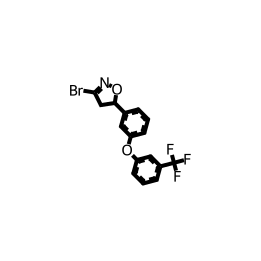 FC(F)(F)c1cccc(Oc2cccc(C3CC(Br)=NO3)c2)c1